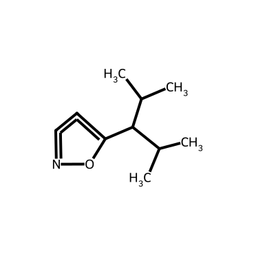 CC(C)C(C1=C=C=NO1)C(C)C